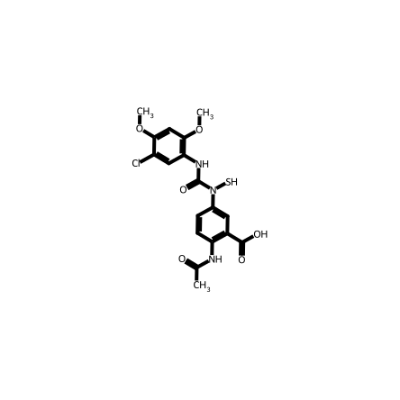 COc1cc(OC)c(NC(=O)N(S)c2ccc(NC(C)=O)c(C(=O)O)c2)cc1Cl